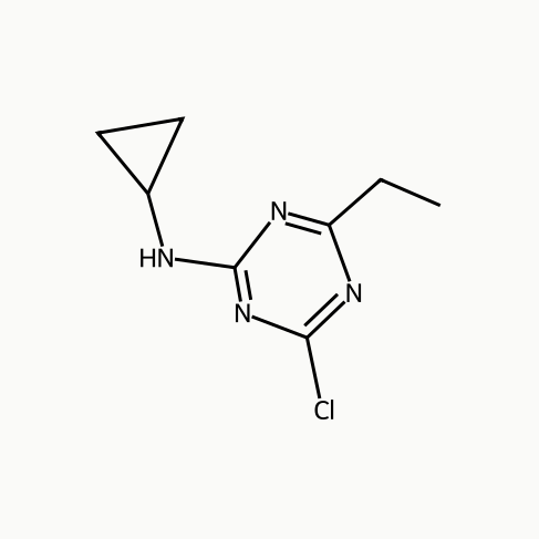 CCc1nc(Cl)nc(NC2CC2)n1